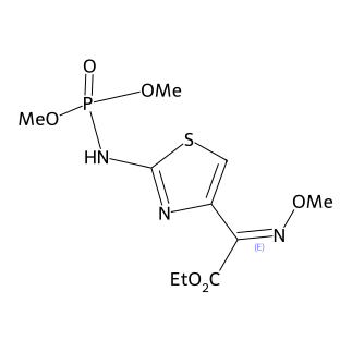 CCOC(=O)/C(=N/OC)c1csc(NP(=O)(OC)OC)n1